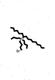 CCCCCCCCCC(CCCCCC)[P+](CCCC)(CCCC)CCCC.[Br-]